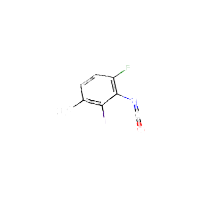 Cc1ccc(F)c(N=C=O)c1I